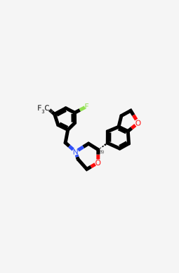 Fc1cc(CN2CCO[C@@H](c3ccc4c(c3)CCO4)C2)cc(C(F)(F)F)c1